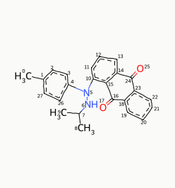 Cc1ccc(N(NC(C)C)c2cccc3c2C(=O)c2ccccc2C3=O)cc1